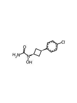 NC(=O)N(O)[C@H]1C[C@@H](c2ccc(Cl)cc2)C1